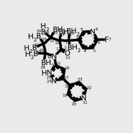 BC(B)(c1ccc(F)nc1)C1(B)C(=O)N(c2cc(-c3ccncc3)n[nH]2)C(B)(B)C(B)(B)C1(B)B